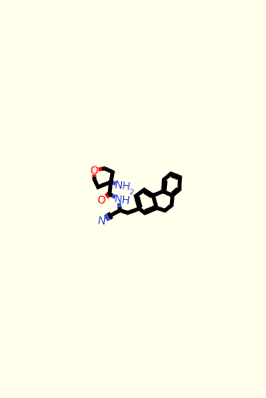 N#CC(Cc1ccc2c(c1)CCc1ccccc1-2)NC(=O)C1(N)CCOCC1